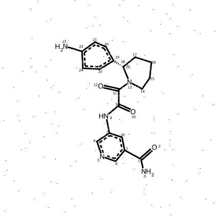 NC(=O)c1cncc(NC(=O)C(=O)N2CCCC[C@H]2c2ccc(N)cc2)c1